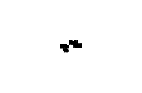 [NaH].[NaH].[NaH].[Yb]